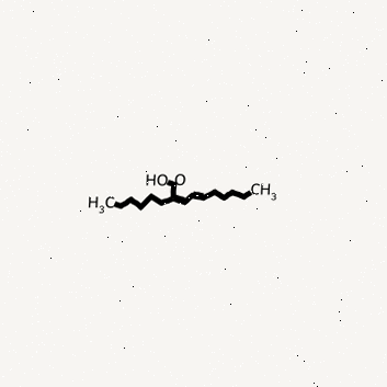 CCCCCC=CC=C(CCCCCC)C(=O)O